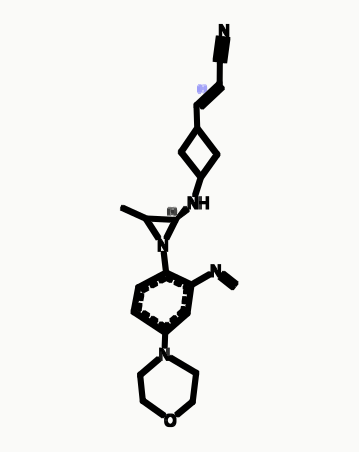 C=Nc1cc(N2CCOCC2)ccc1N1C(C)[C@H]1NC1CC(/C=C/C#N)C1